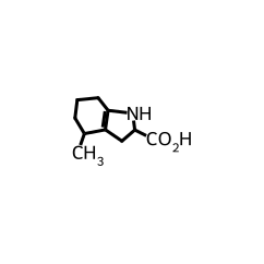 CC1CCCC2=C1CC(C(=O)O)N2